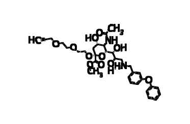 C#CCOCCOCCO[C@]1(C(=O)OC)C[C@H](O)[C@@H](NC(C)=O)[C@H]([C@H](O)[C@H](O)CNCc2cccc(Oc3ccccc3)c2)O1